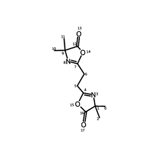 CC1(C)N=C(CCC2=NC(C)(C)C(=O)O2)OC1=O